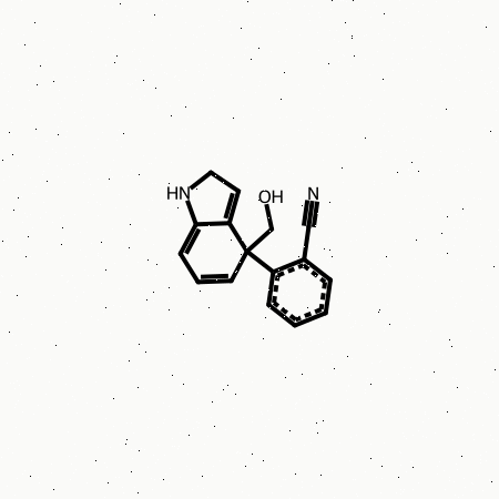 N#Cc1ccccc1C1(CO)C=CC=C2NCC=C21